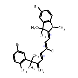 C=C(/C=C/C(Cl)=C/C=C1/N(C)c2ccc(Br)cc2C1(C)C)C(C)(C)c1cc(Br)ccc1C